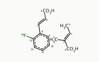 C/C=C(\C)C(=O)O.O=C(O)C=Cc1ccccc1F